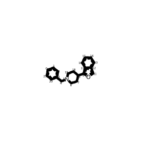 c1ccc(CN2CCC(c3occ4ccccc34)CC2)cc1